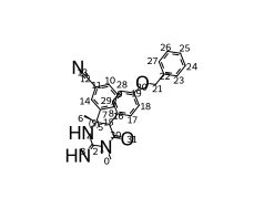 CN1C(=N)N[C@](C)(c2cccc(C#N)c2)C(c2ccc(OCc3ccccc3)cc2)C1=O